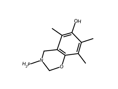 Cc1c(C)c2c(c(C)c1O)CN(P)CO2